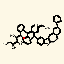 C=Cc1c(C/C=C\C)c(-c2ccc3oc4c(c3c2)C=c2cc(-c3ccccc3)ccc2=CC4)c2ccccc2c1-c1ccccc1/C(CO)=C(O)/C(O)=C(/O)CO